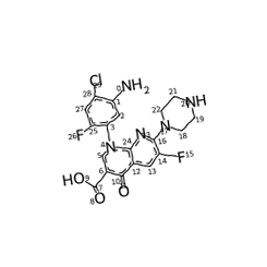 Nc1cc(-n2cc(C(=O)O)c(=O)c3cc(F)c(N4CCNCC4)nc32)c(F)cc1Cl